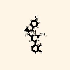 Cc1cccc(C2=NC(N)NC(NC3(Cc4ccc(Cl)cc4)CC3)=C2)c1C